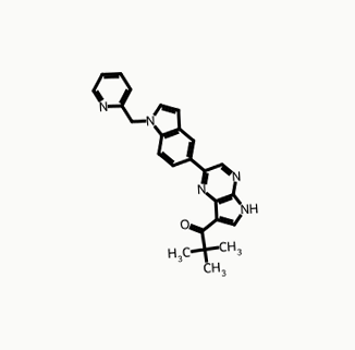 CC(C)(C)C(=O)c1c[nH]c2ncc(-c3ccc4c(ccn4Cc4ccccn4)c3)nc12